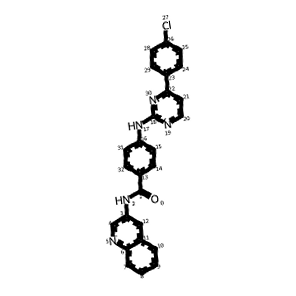 O=C(Nc1cnc2ccccc2c1)c1ccc(Nc2nccc(-c3ccc(Cl)cc3)n2)cc1